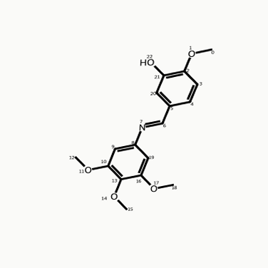 COc1ccc(/C=N/c2cc(OC)c(OC)c(OC)c2)cc1O